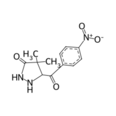 CC1(C)C(=O)NNC1C(=O)c1ccc([N+](=O)[O-])cc1